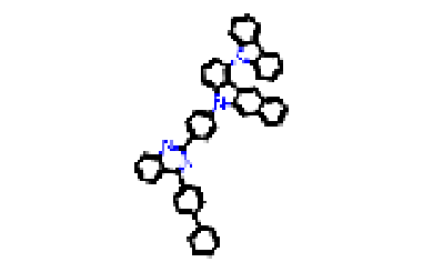 c1ccc(-c2ccc(-c3nc(-c4ccc(-n5c6cc7ccccc7cc6c6c(-n7c8ccccc8c8ccccc87)cccc65)cc4)nc4ccccc34)cc2)cc1